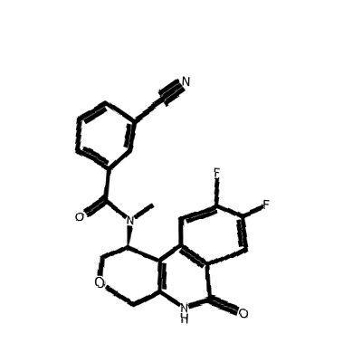 CN(C(=O)c1cccc(C#N)c1)[C@@H]1COCc2[nH]c(=O)c3cc(F)c(F)cc3c21